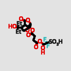 CCC(O)(CC)C1C2OC3C(OC(=O)C31)C2OC(=O)CCC(=O)OC(O)C(F)(F)S(=O)(=O)O